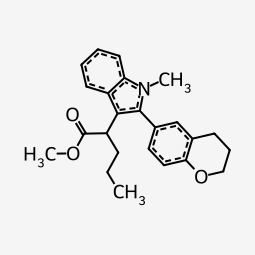 CCCC(C(=O)OC)c1c(-c2ccc3c(c2)CCCO3)n(C)c2ccccc12